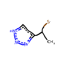 CC([S])c1c[nH]nn1